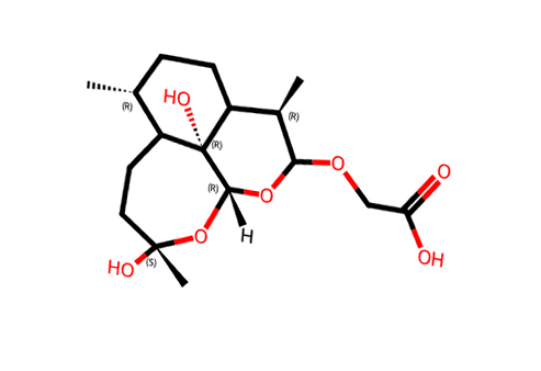 C[C@H]1C(OCC(=O)O)O[C@@H]2O[C@](C)(O)CCC3[C@H](C)CCC1[C@]32O